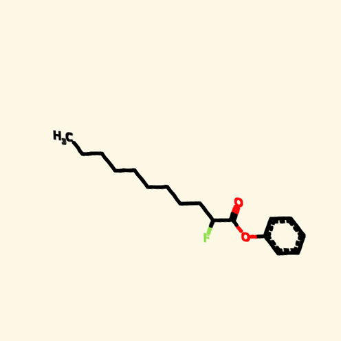 CCCCCCCCCC(F)C(=O)Oc1ccccc1